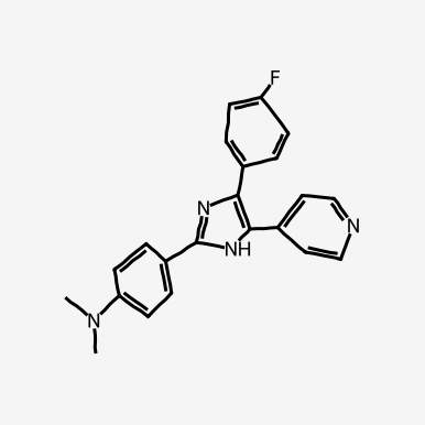 CN(C)c1ccc(-c2nc(-c3ccc(F)cc3)c(-c3ccncc3)[nH]2)cc1